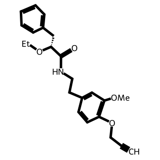 C#CCOc1ccc(CCNC(=O)[C@@H](Cc2ccccc2)OCC)cc1OC